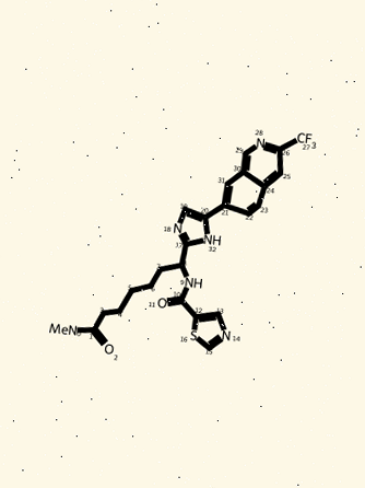 CNC(=O)CCCCCC(NC(=O)c1cncs1)c1ncc(-c2ccc3cc(C(F)(F)F)ncc3c2)[nH]1